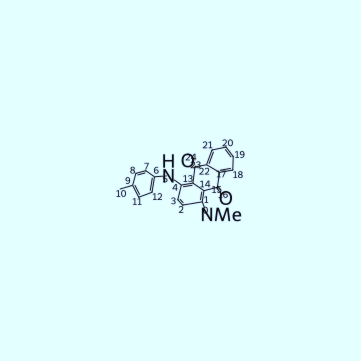 CNc1ccc(Nc2ccc(C)cc2)c2c1C(=O)c1ccccc1C2=O